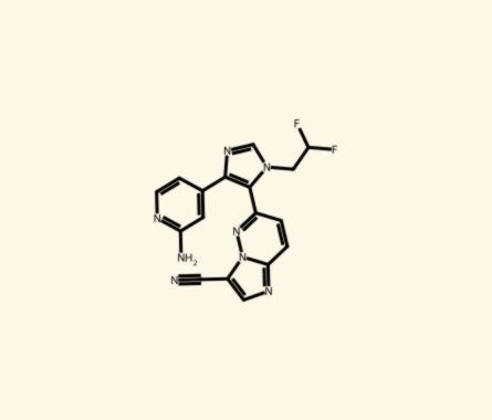 N#Cc1cnc2ccc(-c3c(-c4ccnc(N)c4)ncn3CC(F)F)nn12